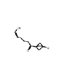 N#C/C=C\CCCC(=O)C12CC(Cl)(C1)C2